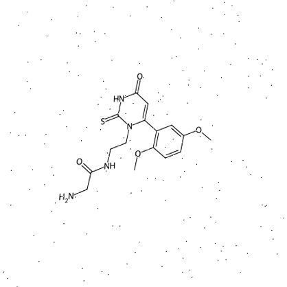 COc1ccc(OC)c(-c2cc(=O)[nH]c(=S)n2CCNC(=O)CN)c1